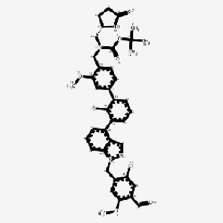 COc1cc(Cn2ncc3c(-c4cccc(-c5ccc(CN(C[C@@H]6CCC(=O)N6)C(=O)OC(C)(C)C)c(OC)c5)c4Cl)cccc32)c(Cl)cc1C=O